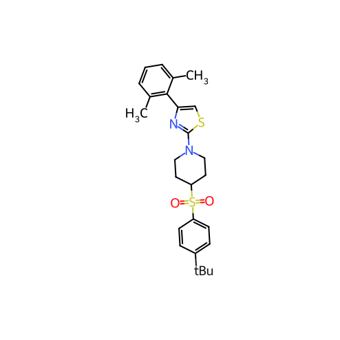 Cc1cccc(C)c1-c1csc(N2CCC(S(=O)(=O)c3ccc(C(C)(C)C)cc3)CC2)n1